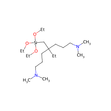 CCO[Si](CC(CC)(CCCN(C)C)CCCN(C)C)(OCC)OCC